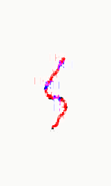 CC(=O)CCOCCOCCOCC(C)(C)COCC(C)(C)CNC(=O)CC(C)(C)COCC(C)(C)CNC(O)CCOCCOCCNC(=O)C[C@@H](C)O